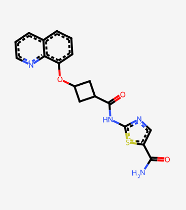 NC(=O)c1cnc(NC(=O)C2CC(Oc3cccc4cccnc34)C2)s1